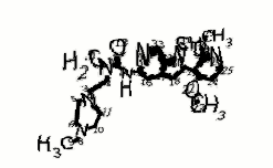 [CH2]N(CCN1CCN(CC)CC1)C(=O)Nc1cc2cc(-c3c(OC)ccnc3OC)n(C)c2cn1